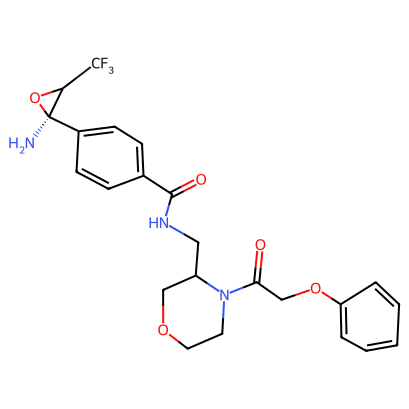 N[C@]1(c2ccc(C(=O)NCC3COCCN3C(=O)COc3ccccc3)cc2)OC1C(F)(F)F